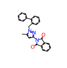 Cc1cc(N2C(=O)c3ccccc3C2=O)nn1Cc1ccccc1-c1ccccc1